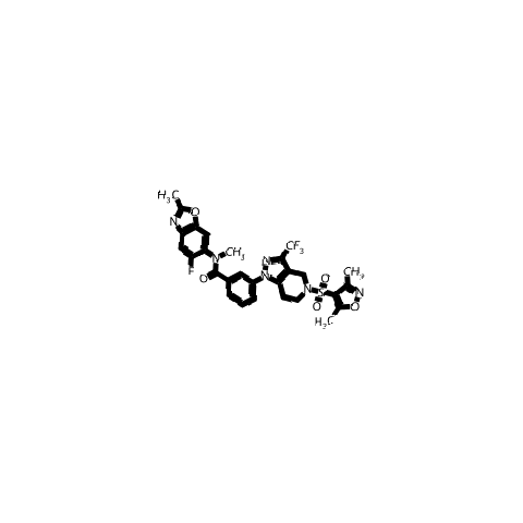 Cc1nc2cc(F)c(N(C)C(=O)c3cccc(-n4nc(C(F)(F)F)c5c4CCN(S(=O)(=O)c4c(C)noc4C)C5)c3)cc2o1